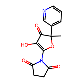 CC1(c2cccnc2)OC(N2C(=O)CCC2=O)=C(O)C1=O